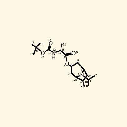 CC(C)N1C2CC(OC(=O)[C@H](C)NC(=O)OC(C)(C)C)CC1[C@H](C)C2